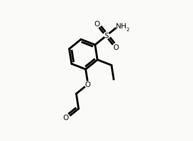 CCc1c(OCC=O)cccc1S(N)(=O)=O